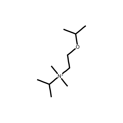 CC(C)OCC[N+](C)(C)C(C)C